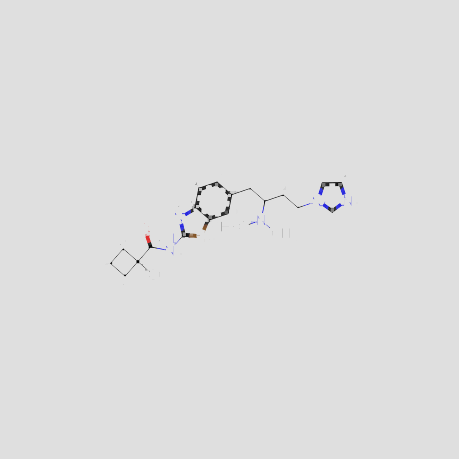 CN(C)C(CCn1ccnc1)Cc1ccc2nc(NC(=O)C3(C(=O)O)CCC3)sc2c1